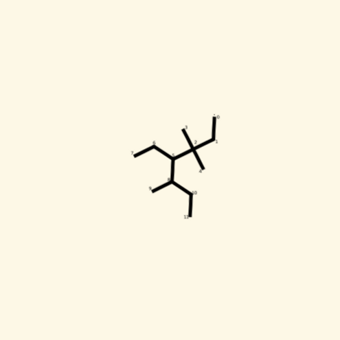 [CH2]CC(C)(C)C(CC)C(C)CC